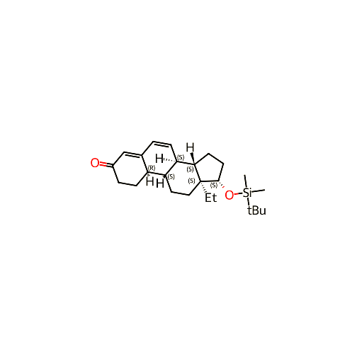 CC[C@]12CC[C@H]3[C@@H](C=CC4=CC(=O)CC[C@@H]43)[C@@H]1CC[C@@H]2O[Si](C)(C)C(C)(C)C